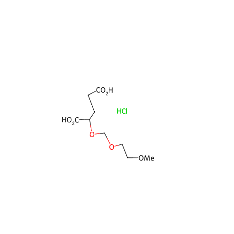 COCCOCOC(CCC(=O)O)C(=O)O.Cl